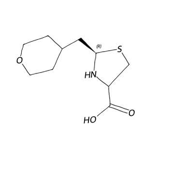 O=C(O)C1CS[C@H](CC2CCOCC2)N1